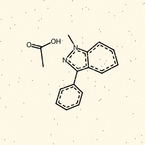 CC(=O)O.Cn1nc(-c2ccccc2)c2ccccc21